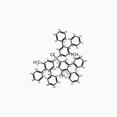 Cc1cc([Si](Cl)(c2cc(C)c(-c3ccccc3)c(-c3ccccc3)c2)c2cc(C)c(-c3ccccc3)c(-c3ccccc3)c2)cc(-c2ccccc2)c1-c1ccccc1